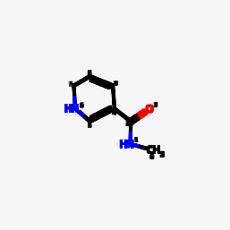 CNC(=O)C1=CNCC=C1